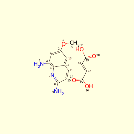 COc1cc(N)c2nc(N)ccc2c1.O=C(O)C=CC(=O)O